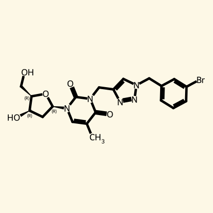 Cc1cn([C@H]2C[C@@H](O)[C@@H](CO)O2)c(=O)n(Cc2cn(Cc3cccc(Br)c3)nn2)c1=O